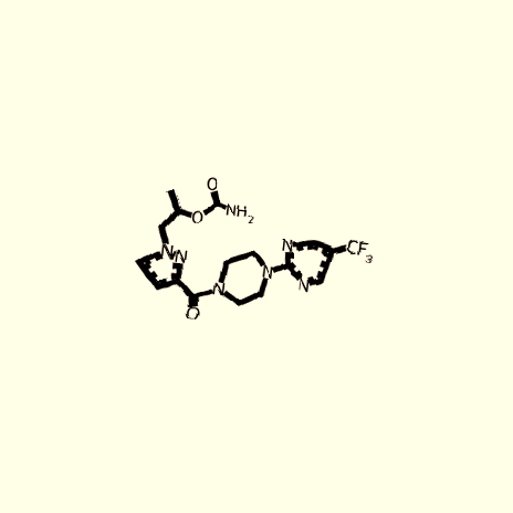 CC(Cn1ccc(C(=O)N2CCN(c3ncc(C(F)(F)F)cn3)CC2)n1)OC(N)=O